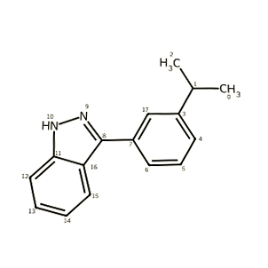 CC(C)c1cccc(-c2n[nH]c3ccccc23)c1